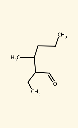 CCCC(C)C(C=O)CC